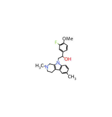 COc1ccc(C(O)Cn2c3c(c4cc(C)ccc42)CCN(C)C3)cc1F